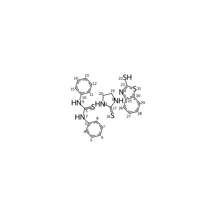 S=C(Nc1ccccc1)Nc1ccccc1.S=C1NCCN1.Sc1nc2ccccc2s1